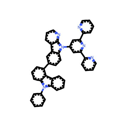 c1ccc(-n2c3ccccc3c3c(-c4ccc5c(c4)c4cccnc4n5-c4cc(-c5ccccn5)nc(-c5ccccn5)c4)cccc32)cc1